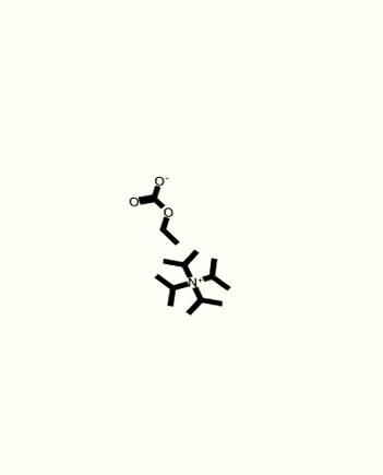 CC(C)[N+](C(C)C)(C(C)C)C(C)C.CCOC(=O)[O-]